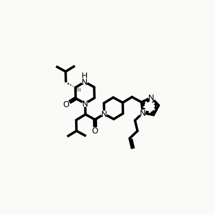 C=CCCn1ccnc1CC1CCN(C(=O)C(CC(C)C)N2CCN[C@@H](CC(C)C)C2=O)CC1